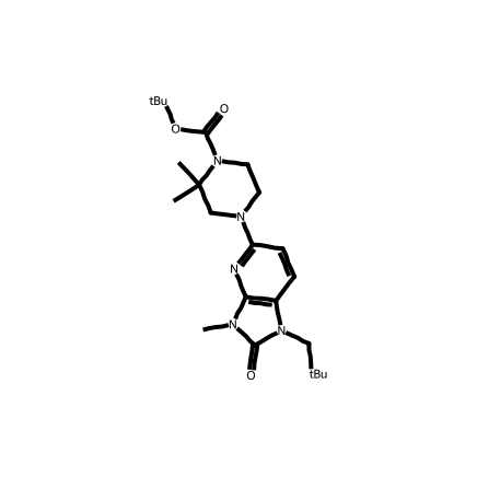 Cn1c(=O)n(CC(C)(C)C)c2ccc(N3CCN(C(=O)OC(C)(C)C)C(C)(C)C3)nc21